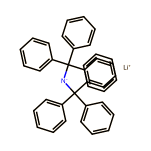 [Li+].c1ccc(C([N-]C(c2ccccc2)(c2ccccc2)c2ccccc2)(c2ccccc2)c2ccccc2)cc1